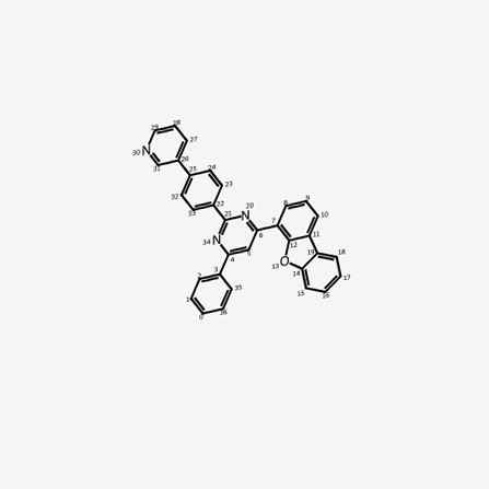 c1ccc(-c2cc(-c3cccc4c3oc3ccccc34)nc(-c3ccc(-c4cccnc4)cc3)n2)cc1